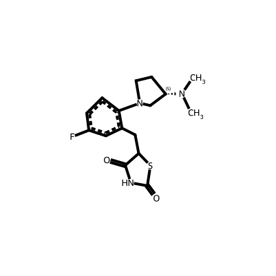 CN(C)[C@H]1CCN(c2ccc(F)cc2CC2SC(=O)NC2=O)C1